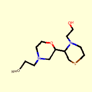 COCCN1CCOC(C2CSCCN2CCO)C1